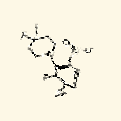 O=[N+]([O-])c1ccc(Br)c(F)c1N1CCC(F)(F)CC1